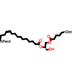 CCCCC/C=C\C/C=C\CCCCCCCCCC(=O)O[C@@H](CO)COC(=O)CCCCCCCCCCCCCC